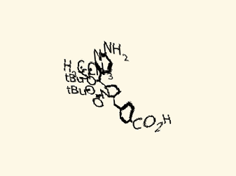 CC(C)(C)OC(=O)N1[C@H](Cc2ccc(C(=O)O)cc2)CC[C@@H]1C(O[Si](C)(C)C(C)(C)C)c1ccc(N)nc1